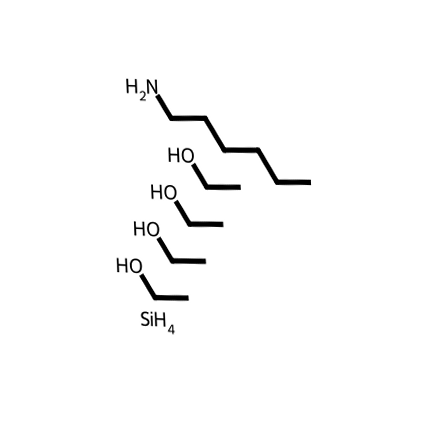 CCCCCCN.CCO.CCO.CCO.CCO.[SiH4]